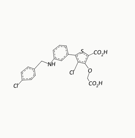 O=C(O)COc1c(C(=O)O)sc(-c2cccc(NCc3ccc(Cl)cc3)c2)c1Cl